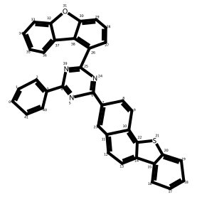 c1ccc(-c2nc(-c3ccc4c(ccc5c6ccccc6sc45)c3)nc(-c3cccc4oc5ccccc5c34)n2)cc1